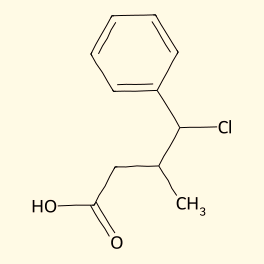 CC(CC(=O)O)C(Cl)c1ccccc1